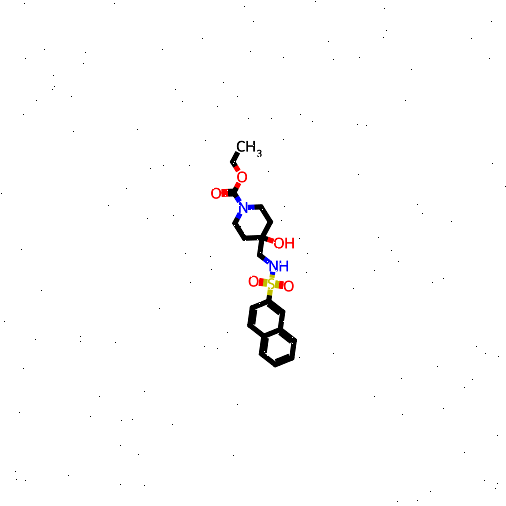 CCOC(=O)N1CCC(O)(CNS(=O)(=O)c2ccc3ccccc3c2)CC1